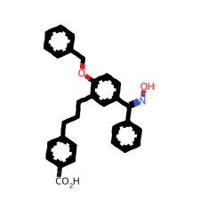 O=C(O)c1ccc(CCCc2cc(/C(=N\O)c3ccccc3)ccc2OCc2ccccc2)cc1